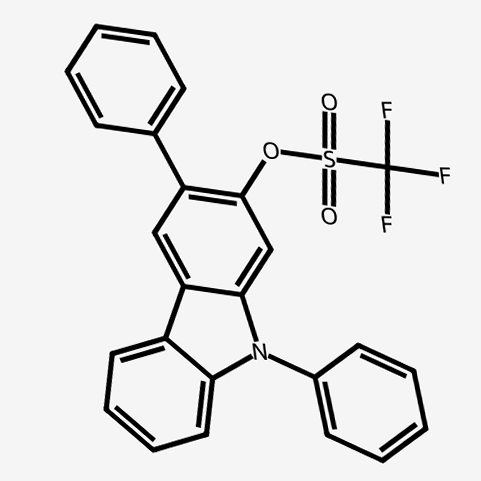 O=S(=O)(Oc1cc2c(cc1-c1ccccc1)c1ccccc1n2-c1ccccc1)C(F)(F)F